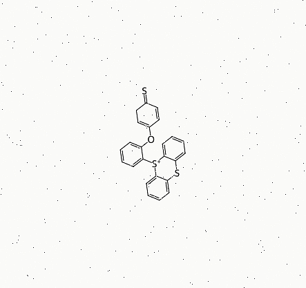 S=C1C=CC(Oc2ccccc2[S+]2c3ccccc3Sc3ccccc32)=CC1